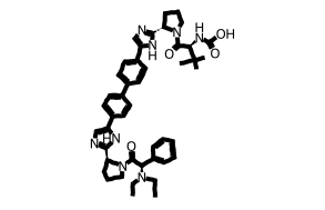 CCN(CC)[C@@H](C(=O)N1CCC[C@H]1c1ncc(-c2ccc(-c3ccc(-c4cnc([C@@H]5CCCN5C(=O)[C@@H](NC(=O)O)C(C)(C)C)[nH]4)cc3)cc2)[nH]1)c1ccccc1